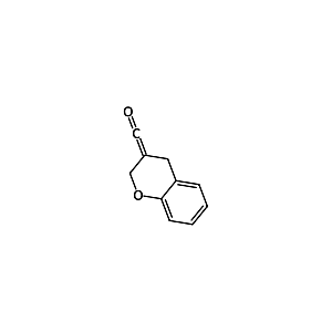 O=C=C1COc2ccccc2C1